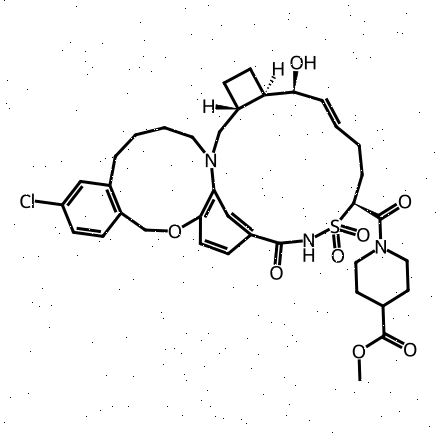 COC(=O)C1CCN(C(=O)[C@@H]2CC/C=C/[C@H](O)[C@@H]3CC[C@H]3CN3CCCCc4cc(Cl)ccc4COc4ccc(cc43)C(=O)NS2(=O)=O)CC1